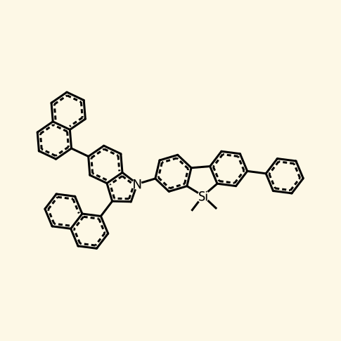 C[Si]1(C)c2cc(-c3ccccc3)ccc2-c2ccc(-n3cc(-c4cccc5ccccc45)c4cc(-c5cccc6ccccc56)ccc43)cc21